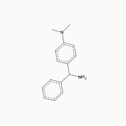 CN(C)c1ccc(C(N)c2ccccc2)cc1